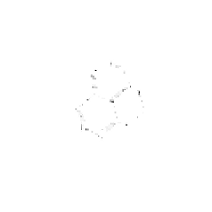 CCO.c1ccc2cnncc2c1